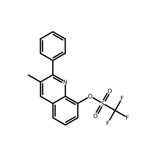 Cc1cc2cccc(OS(=O)(=O)C(F)(F)F)c2nc1-c1ccccc1